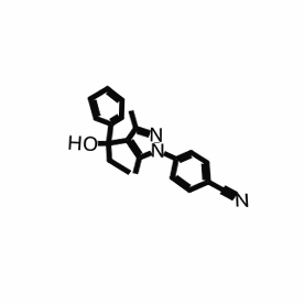 CCC(O)(c1ccccc1)c1c(C)nn(-c2ccc(C#N)cc2)c1C